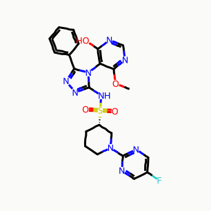 COc1ncnc(O)c1-n1c(NS(=O)(=O)[C@H]2CCCN(c3ncc(F)cn3)C2)nnc1C1=C=C=CC=C1